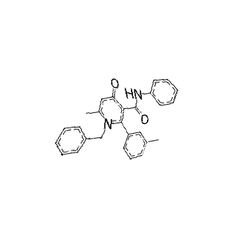 Cc1cccc(-c2c(C(=O)Nc3ccccc3)c(=O)cc(C)n2Cc2ccccc2)c1